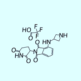 O=C(O)C(F)(F)F.O=C1CCC(N2C(=O)c3cccc(NC4CNC4)c3C2=O)C(=O)N1